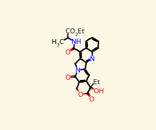 CCOC(=O)C(C)NC(=O)c1c2c(nc3ccccc13)-c1cc3c(c(=O)n1C2)COC(=O)[C@]3(O)CC